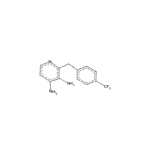 Nc1ccnc(Cc2ccc(C(F)(F)F)cc2)c1N